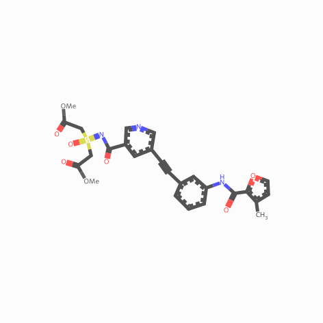 COC(=O)CS(=O)(CC(=O)OC)=NC(=O)c1cncc(C#Cc2cccc(NC(=O)c3occc3C)c2)c1